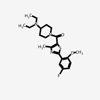 CCN(CC)C1CCN(C(=O)c2sc(-c3cc(F)ccc3OC)nc2C)CC1